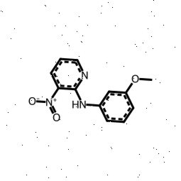 COc1cccc(Nc2ncccc2[N+](=O)[O-])c1